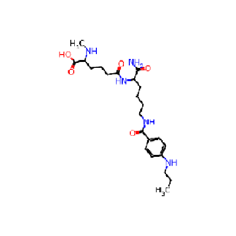 CCCNc1ccc(C(=O)NCCCCC(NC(=O)CCCC(NC)C(=O)O)C(N)=O)cc1